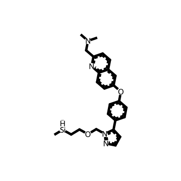 CN(C)Cc1ccc2cc(Oc3ccc(-c4ccnn4COCC[SiH](C)C)cc3)ccc2n1